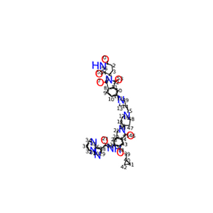 O=C1CCC(N2C(=O)c3ccc(N4CC(CN5CCC(N6Cc7cc(NC(=O)c8cnn9cccnc89)c(OCC8CC8)cc7C6=O)CC5)C4)cc3C2=O)C(=O)N1